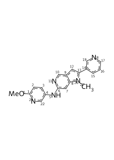 COc1ccc(Nc2cc3c(cn2)cc(-c2cccnc2)n3C)cn1